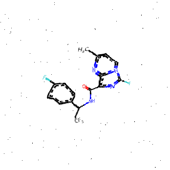 Cc1ccn2c(F)nc(C(=O)NC(c3ccc(F)cc3)C(F)(F)F)c2n1